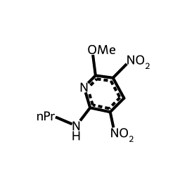 CCCNc1nc(OC)c([N+](=O)[O-])cc1[N+](=O)[O-]